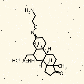 CC(=O)NCC1C[C@@H]2[C@@H](CC[C@]3(C)C(=O)CC[C@@H]23)[C@@]2(C)CCC(=NOCCN)CC12.Cl